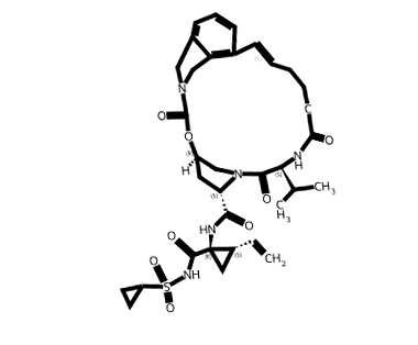 C=C[C@@H]1C[C@]1(NC(=O)[C@@H]1C[C@@H]2CN1C(=O)[C@H](C(C)C)NC(=O)CCC/C=C/c1cccc3c1CN(C3)C(=O)O2)C(=O)NS(=O)(=O)C1CC1